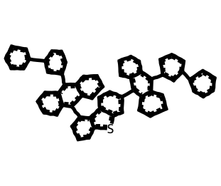 c1ccc(-c2cccc(-c3c4ccccc4c(-c4ccc5c(c4)sc4cccc(-c6c7ccccc7c(-c7cccc(-c8ccccc8)c7)c7ccccc67)c45)c4ccccc34)c2)cc1